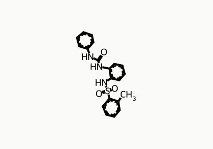 Cc1ccccc1S(=O)(=O)Nc1ccccc1NC(=O)Nc1ccccc1